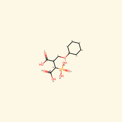 O=C(O)C(COC1CCCCC1)C(C(=O)O)P(=O)(O)O